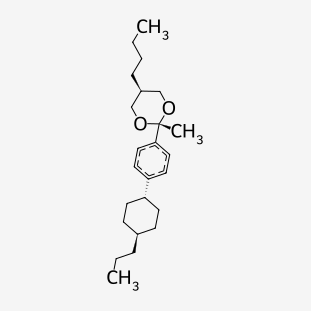 CCCC[C@H]1CO[C@](C)(c2ccc([C@H]3CC[C@H](CCC)CC3)cc2)OC1